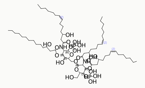 CCCCCC/C=C\CCCC(O)CC(=O)NC1[C@@H](O[PH](O)(O)O)OC(CO[C@@H]2OC(CO)[C@@H](O[PH](O)(O)O)[C@H](OC(=O)CC(O)CCC/C=C\CCCCCC)C2NC(=O)CC(O)CCC/C=C\CCCCCC)[C@@H](O)[C@@H]1OC(=O)CC(O)CCCCCCCCCCC